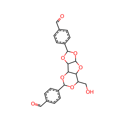 O=Cc1ccc(C2OC3OC4C(CO)OC(c5ccc(C=O)cc5)OC4C3O2)cc1